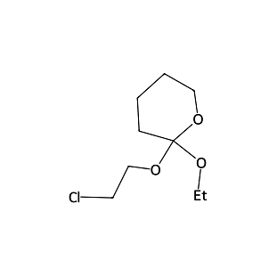 CCOC1(OCCCl)CCCCO1